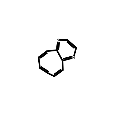 C1=CC=Cc2nccnc2C=C1